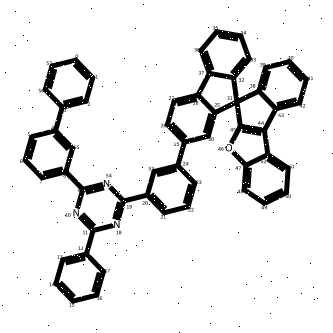 c1ccc(-c2cccc(-c3nc(-c4ccccc4)nc(-c4cccc(-c5ccc6c(c5)C5(c7ccccc7-6)c6ccccc6-c6c5oc5ccccc65)c4)n3)c2)cc1